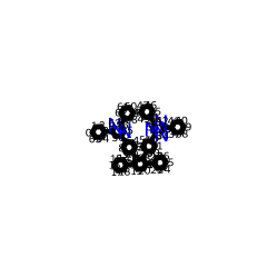 c1ccc(-c2cc(-c3ccc(-c4c(-c5ccccc5)ccc(-c5ccccc5)c4-c4ccc(-c5nc(-c6ccccc6)nc(-c6ccccc6)n5)cc4)cc3)nc(-c3ccccc3)n2)cc1